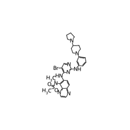 CN(c1c(Nc2nc(Nc3cccc(N4CCC(N5CCCC5)CC4)c3)ncc2Br)ccc2nccnc12)S(C)(=O)=O